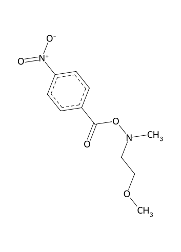 COCCN(C)OC(=O)c1ccc([N+](=O)[O-])cc1